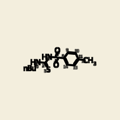 CCCCNC(=S)NS(=O)(=O)c1ccc(C)cc1